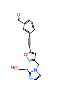 O=Cc1cccc(C#Cc2cc(Cn3ccnc3CCO)no2)c1